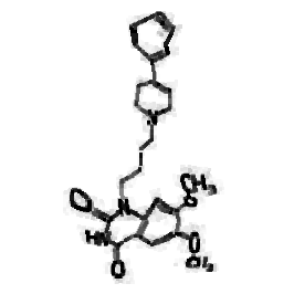 COc1cc2c(=O)[nH]c(=O)n(CCCCN3CC=C(c4ccccc4)CC3)c2cc1OC